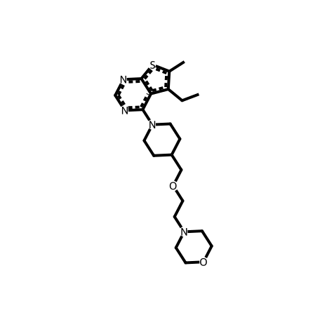 CCc1c(C)sc2ncnc(N3CCC(COCCN4CCOCC4)CC3)c12